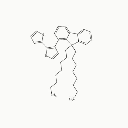 CCCCCCCCC1(CCCCCCCC)c2ccccc2-c2cccc(-c3ccsc3-c3cccs3)c21